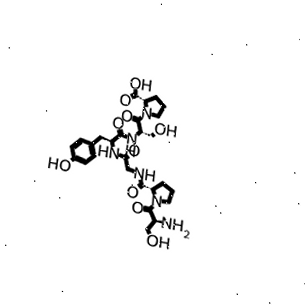 N[C@@H](CO)C(=O)N1CCC[C@H]1C(=O)NCC(=O)N[C@@H](Cc1ccc(O)cc1)C(=O)N[C@@H](CO)C(=O)N1CCC[C@H]1C(=O)O